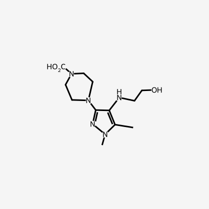 Cc1c(NCCO)c(N2CCN(C(=O)O)CC2)nn1C